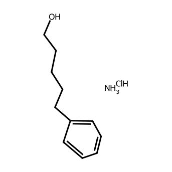 Cl.N.OCCCCCc1ccccc1